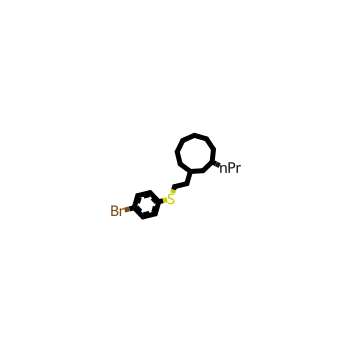 CCCC1CCCCCCC(CCSc2ccc(Br)cc2)C1